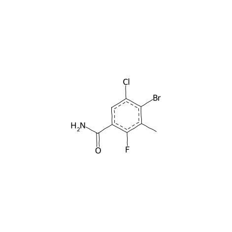 Cc1c(F)c(C(N)=O)cc(Cl)c1Br